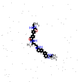 CCc1nc2c([nH]1)-c1ccc(-c3ccc4c(c3)COc3nc(C(C)CCCc5nc6c([nH]5)-c5ccc(-c7ccc8c(c7)CCc7nc(C(C)C)[nH]c7-8)cc5CC6)[nH]c3-4)cc1OC2